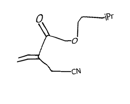 C=C(CC#N)C(=O)OCC(C)C